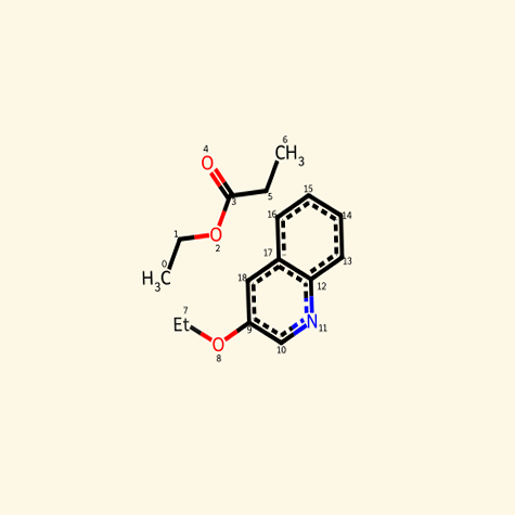 CCOC(=O)CC.CCOc1cnc2ccccc2c1